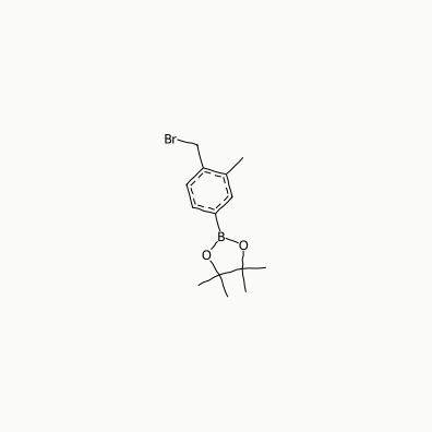 Cc1cc(B2OC(C)(C)C(C)(C)O2)ccc1CBr